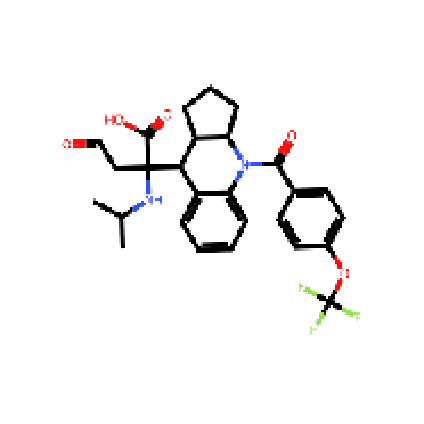 CC(C)NC(CC=O)(C(=O)O)C1c2ccccc2N(C(=O)c2ccc(OC(F)(F)F)cc2)C2CCCC21